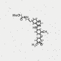 COCC(=O)NCC=Cc1ccc2ncnc(Nc3ccc(Oc4ccc(C)[n+]([O-])c4)c(C)c3)c2c1